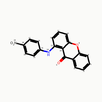 O=c1c2ccccc2oc2cccc(Nc3ccc([N+](=O)[O-])cc3)c12